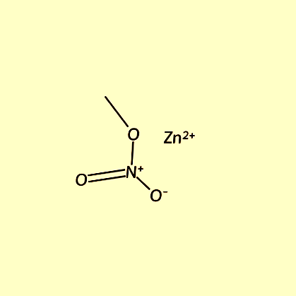 CO[N+](=O)[O-].[Zn+2]